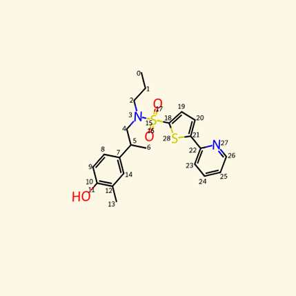 CCCN(CC(C)c1ccc(O)c(C)c1)S(=O)(=O)c1ccc(-c2ccccn2)s1